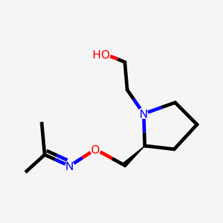 CC(C)=NOC[C@@H]1CCCN1CCO